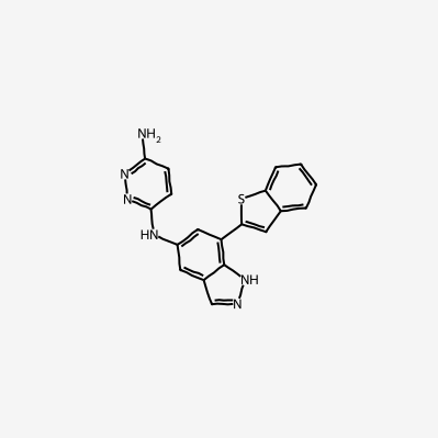 Nc1ccc(Nc2cc(-c3cc4ccccc4s3)c3[nH]ncc3c2)nn1